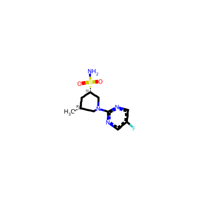 C[C@@H]1C[C@H](S(N)(=O)=O)CN(c2ncc(F)cn2)C1